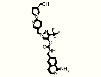 Nc1nccc2cc(CNC(=O)Oc3cn(Cc4ccc(N5CC[C@@H](CO)C5)nc4)nc3C(F)(F)F)ccc12